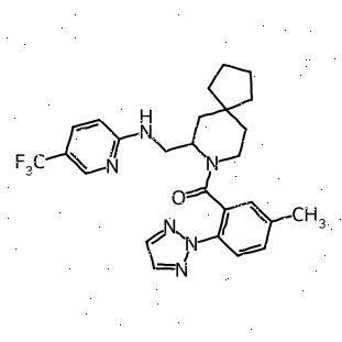 Cc1ccc(-n2nccn2)c(C(=O)N2CCC3(CCCC3)CC2CNc2ccc(C(F)(F)F)cn2)c1